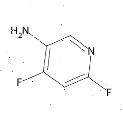 Nc1cnc(F)[c]c1F